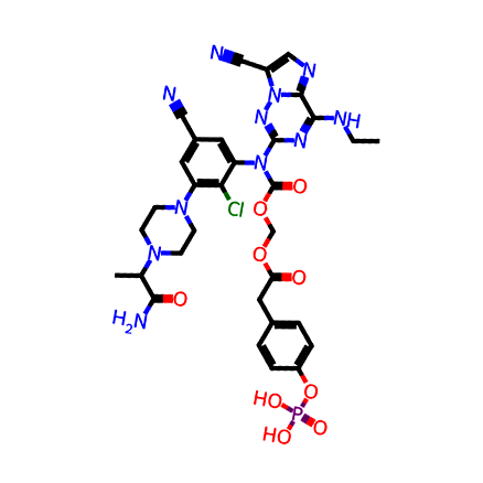 CCNc1nc(N(C(=O)OCOC(=O)Cc2ccc(OP(=O)(O)O)cc2)c2cc(C#N)cc(N3CCN(C(C)C(N)=O)CC3)c2Cl)nn2c(C#N)cnc12